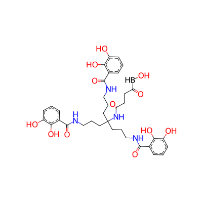 O=C(BO)CCC(=O)NC(CCCNC(=O)c1cccc(O)c1O)(CCCNC(=O)c1cccc(O)c1O)CCCNC(=O)c1cccc(O)c1O